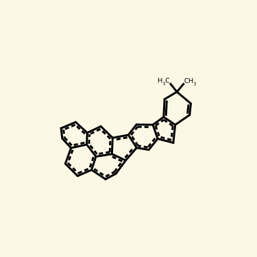 CC1(C)C=Cc2cc3cc4c(cc3c2=C1)c1cc2cccc3ccc5ccc4c1c5c32